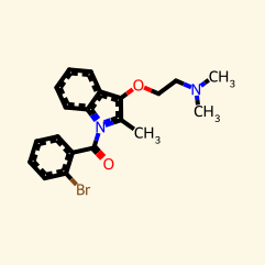 Cc1c(OCCN(C)C)c2ccccc2n1C(=O)c1ccccc1Br